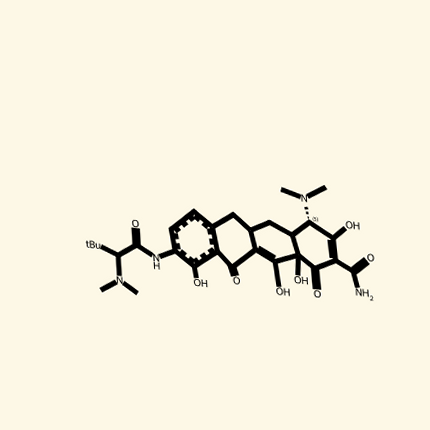 CN(C)C(C(=O)Nc1ccc2c(c1O)C(=O)C1=C(O)C3(O)C(=O)C(C(N)=O)=C(O)[C@@H](N(C)C)C3CC1C2)C(C)(C)C